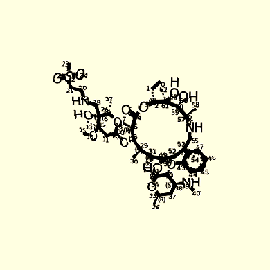 CC[C@H]1OC(=O)[C@H](C)[C@@H](O[C@H]2C[C@@](C)(OC)[C@](O)(CNCCS(C)(=O)=O)[C@H](C)O2)[C@H](C)[C@@H](O[C@@H]2O[C@H](C)C[C@H](NC)[C@H]2Oc2ccccc2)[C@](C)(O)C[C@@H](C)CN[C@H](C)[C@@H](O)[C@]1(C)O